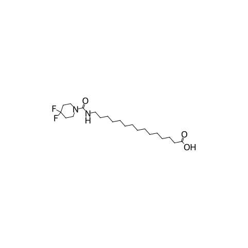 O=C(O)CCCCCCCCCCCCCCNC(=O)N1CCC(F)(F)CC1